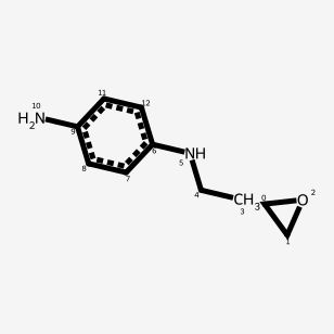 C1CO1.CCNc1ccc(N)cc1